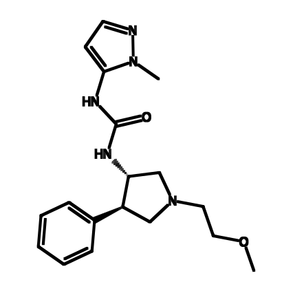 COCCN1C[C@@H](NC(=O)Nc2ccnn2C)[C@H](c2ccccc2)C1